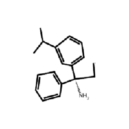 [CH2]C[C@@](N)(c1ccccc1)c1cccc(C(C)C)c1